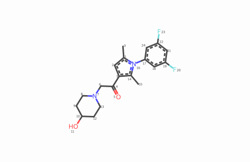 Cc1cc(C(=O)CN2CCC(O)CC2)c(C)n1-c1cc(F)cc(F)c1